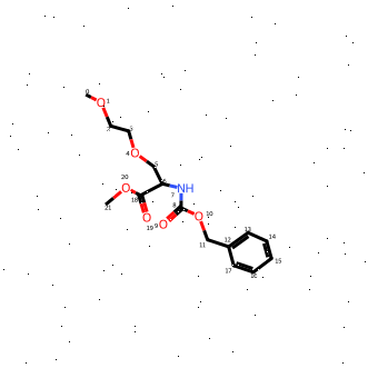 COCCOCC(NC(=O)OCc1ccccc1)C(=O)OC